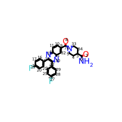 NC(=O)C1CCN(C(=O)c2ccc3nc(-c4ccc(F)cc4)c(-c4ccc(F)cc4)nc3c2)CC1